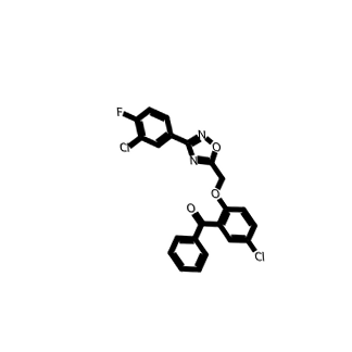 O=C(c1ccccc1)c1cc(Cl)ccc1OCc1nc(-c2ccc(F)c(Cl)c2)no1